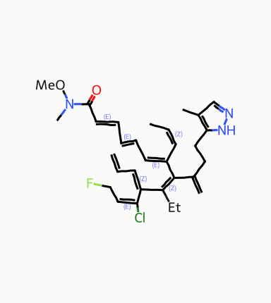 C=C/C=C(C(/CC)=C(/C(=C)CCc1[nH]ncc1C)C(=C/C=C/C=C/C(=O)N(C)OC)/C=C\C)\C(Cl)=C/CF